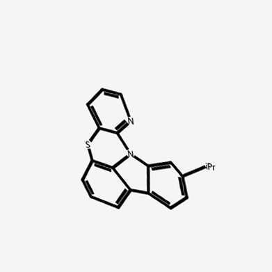 CC(C)c1ccc2c3cccc4c3n(c2c1)-c1ncccc1S4